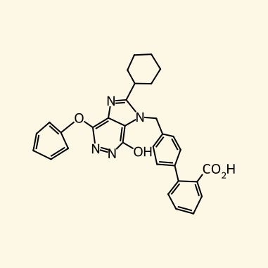 O=C(O)c1ccccc1-c1ccc(Cn2c(C3CCCCC3)nc3c(Oc4ccccc4)nnc(O)c32)cc1